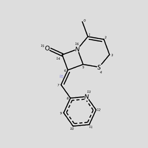 CC1=CCSC2/C(=C\c3ccccn3)C(=O)N12